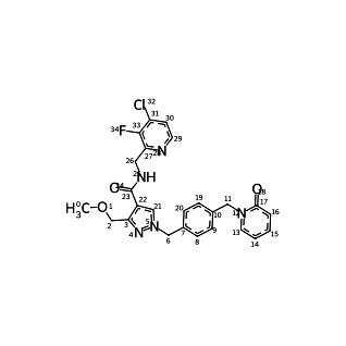 COCc1nn(Cc2ccc(Cn3ccccc3=O)cc2)cc1C(=O)NCc1nccc(Cl)c1F